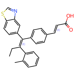 CC/C(=C(/c1ccc(/C=C/C(=O)O)cc1)c1ccc2scnc2c1)c1ccccc1C